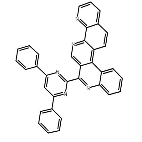 c1ccc(-c2cc(-c3ccccc3)nc(-c3nc4ccccc4c4c3cnc3c4ccc4cccnc43)n2)cc1